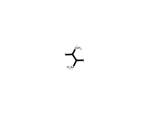 CC([AsH2])C(C)[AsH2]